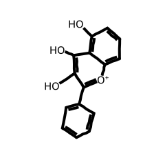 Oc1c(-c2ccccc2)[o+]c2cccc(O)c2c1O